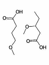 CCC(CC(=O)O)OC.COCCCC(=O)O